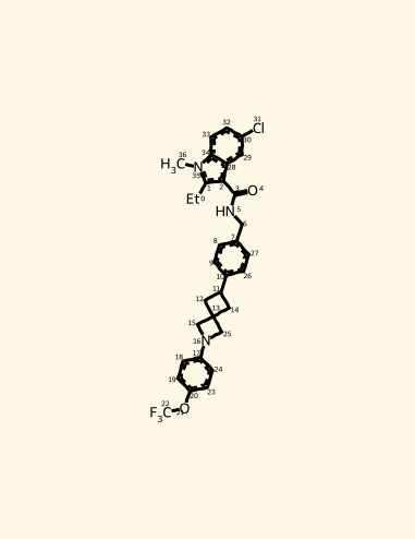 CCc1c(C(=O)NCc2ccc(C3CC4(C3)CN(c3ccc(OC(F)(F)F)cc3)C4)cc2)c2cc(Cl)ccc2n1C